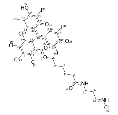 O=C(CCCCCOC(=O)c1c(Cl)c(Cl)c(Cl)c(Cl)c1-c1c2cc(I)c(=O)c(I)c-2oc2c(I)c(O)c(I)cc12)NCCCNCl